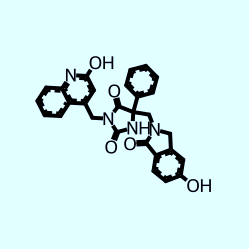 O=C1c2ccc(O)cc2CN1CC1(c2ccccc2)NC(=O)N(Cc2cc(O)nc3ccccc23)C1=O